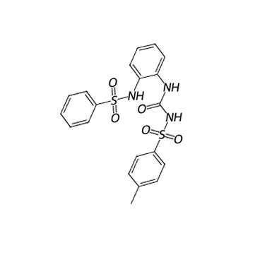 Cc1ccc(S(=O)(=O)NC(=O)Nc2ccccc2NS(=O)(=O)c2ccccc2)cc1